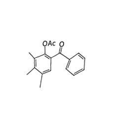 CC(=O)Oc1c(C(=O)c2ccccc2)cc(C)c(C)c1C